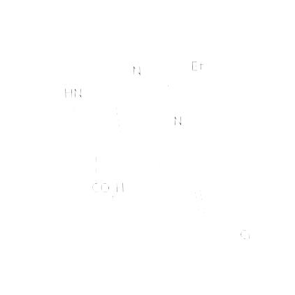 CCc1nc(-c2cccc(Cl)c2)c2c(C(=O)O)c[nH]c2n1